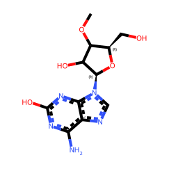 COC1C(O)[C@H](n2cnc3c(N)nc(O)nc32)O[C@@H]1CO